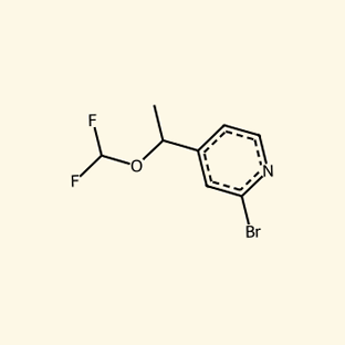 CC(OC(F)F)c1ccnc(Br)c1